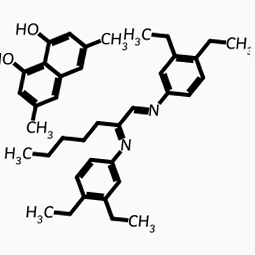 CCCCCC(C=Nc1ccc(CC)c(CC)c1)=Nc1ccc(CC)c(CC)c1.Cc1cc(O)c2c(O)cc(C)cc2c1